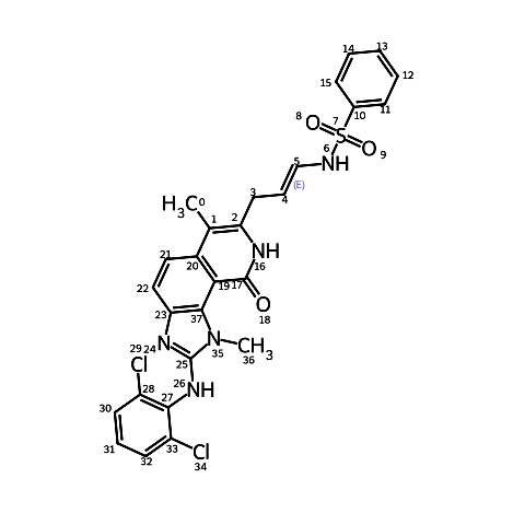 Cc1c(C/C=C/NS(=O)(=O)c2ccccc2)[nH]c(=O)c2c1ccc1nc(Nc3c(Cl)cccc3Cl)n(C)c12